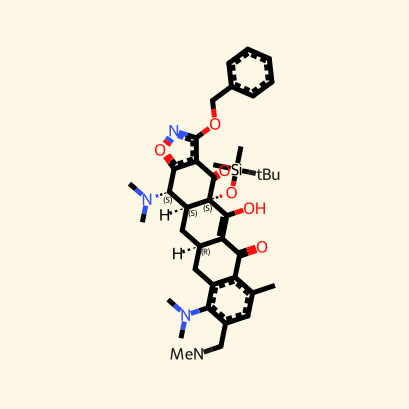 CNCc1cc(C)c2c(c1N(C)C)C[C@H]1C[C@H]3[C@H](N(C)C)c4onc(OCc5ccccc5)c4C(=O)[C@@]3(O[Si](C)(C)C(C)(C)C)C(O)=C1C2=O